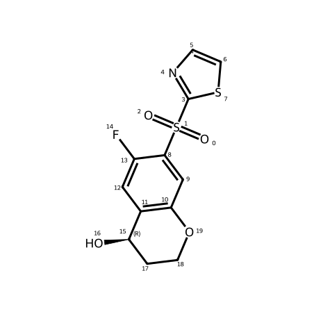 O=S(=O)(c1n[c]cs1)c1cc2c(cc1F)[C@H](O)CCO2